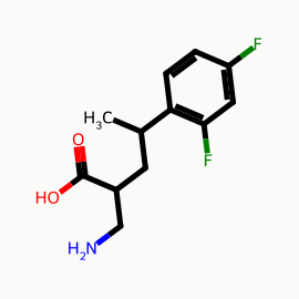 CC(CC(CN)C(=O)O)c1ccc(F)cc1F